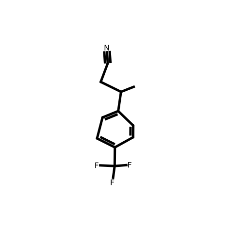 CC(CC#N)c1ccc(C(F)(F)F)cc1